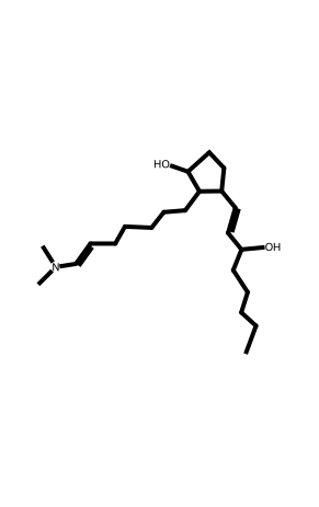 CCCCCC(O)/C=C/C1CCC(O)C1CCCCCC=CN(C)C